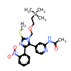 CSc1nc(-c2ccccc2[N+](=O)[O-])c(-c2ccnc(NC(C)=O)c2)n1COCC[Si](C)(C)C